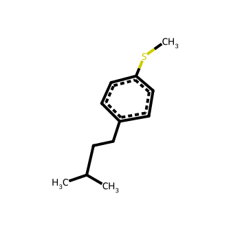 CSc1ccc(CCC(C)C)cc1